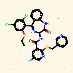 CCOc1cc(Cl)cc(Cl)c1C1=NC(NC(=O)c2cc(F)cnc2OCc2cccnc2)C(=O)Nc2ccccc21